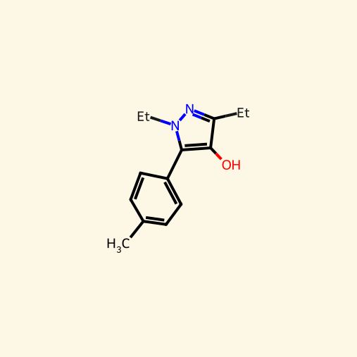 CCc1nn(CC)c(-c2ccc(C)cc2)c1O